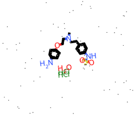 CN(CCOc1ccc(N)cc1)CCc1ccc(NS(C)(=O)=O)cc1.Cl.Cl.O